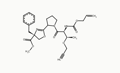 C#CCO[C@H](C)[C@H](NC(=O)OCC=C)C(=O)N1CCCC1C1=N[C@@](Cc2ccccc2)(C(=O)OC)CO1